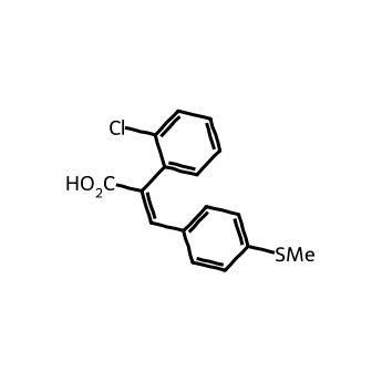 CSc1ccc(C=C(C(=O)O)c2ccccc2Cl)cc1